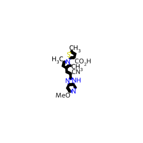 COc1cc2nc(C(C#N)=Cc3cc(C)n(-c4sc(C)cc4C(=O)O)c3C)[nH]c2cn1